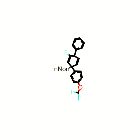 CCCCCCCCCC1(c2ccc(OC(F)F)cc2)C=CC(c2ccccc2)C(F)=C1